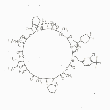 CC[C@H](C)[C@@H]1NC(=O)[C@H](CC(C)C)N(C)C(=O)C[C@@H](C(=O)N2CCCCC2)N(C)C(=O)[C@H](C(C)C)N(C)C(=O)[C@H](C)NC(=O)[C@H](CC(=O)N2CCC(F)(F)CC2)N(C)C(=O)[C@H](CCc2ccc(C(F)(F)F)c(Cl)c2)NC(=O)CN(C)C(=O)[C@H](CC2CCCCC2)N(C)C(=O)CN(C)C(=O)CN(C)C1=O